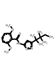 CCC(C)(C)C(C)(C)c1cc(NC(=O)c2c(OC)cccc2OC)on1